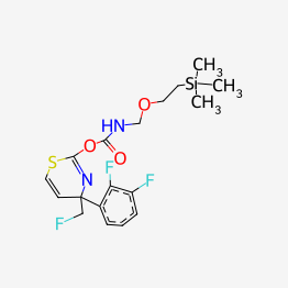 C[Si](C)(C)CCOCNC(=O)OC1=NC(CF)(c2cccc(F)c2F)C=CS1